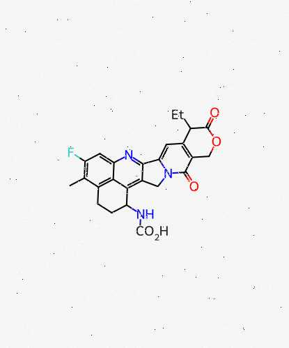 CCC1C(=O)OCc2c1cc1n(c2=O)Cc2c-1nc1cc(F)c(C)c3c1c2C(NC(=O)O)CC3